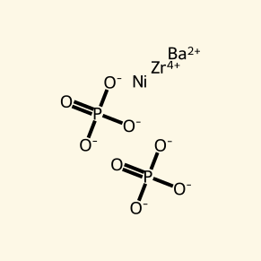 O=P([O-])([O-])[O-].O=P([O-])([O-])[O-].[Ba+2].[Ni].[Zr+4]